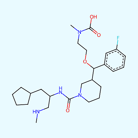 CNCC(CC1CCCC1)NC(=O)N1CCCC(C(OCCN(C)C(=O)O)c2cccc(F)c2)C1